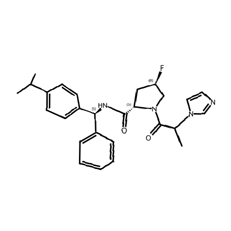 CC(C)c1ccc([C@@H](NC(=O)[C@@H]2C[C@@H](F)CN2C(=O)C(C)n2ccnc2)c2ccccc2)cc1